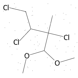 COC(OC)C(C)(Cl)C(Cl)CCl